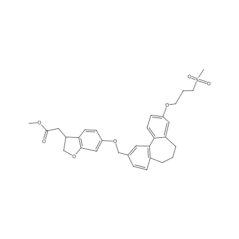 COC(=O)CC1COc2cc(OCc3ccc4c(c3)-c3ccc(OCCCS(C)(=O)=O)cc3CCC4)ccc21